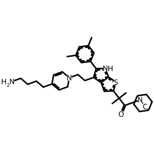 Cc1cc(C)cc(-c2[nH]c3sc(C(C)(C)C(=O)N4CC5CCC4CC5)cc3c2CCN2C=CC(CCCCN)=CC2)c1